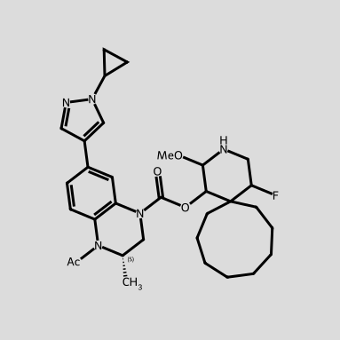 COC1NCC(F)C2(CCCCCCCC2)C1OC(=O)N1C[C@H](C)N(C(C)=O)c2ccc(-c3cnn(C4CC4)c3)cc21